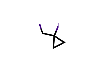 ICC1(I)CC1